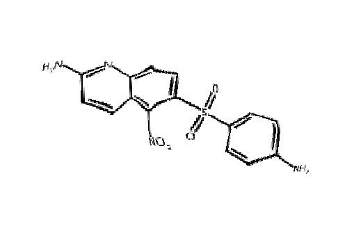 Nc1ccc(S(=O)(=O)c2ccc3nc(N)ccc3c2[N+](=O)[O-])cc1